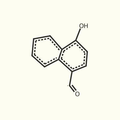 O=[C]c1ccc(O)c2ccccc12